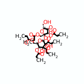 C=CC(=O)OC[C@H]1O[C@H](O[C@]2(COC(=O)C=C)O[C@H](CO)[C@@H](O)[C@@H]2OC(=O)C=C)[C@@](O)(C(=O)C=C)[C@](O)(C(=O)C=C)[C@@H]1OC(=O)C=C